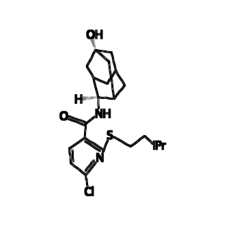 CC(C)CCSc1nc(Cl)ccc1C(=O)N[C@H]1C2CC3CC1C[C@](O)(C3)C2